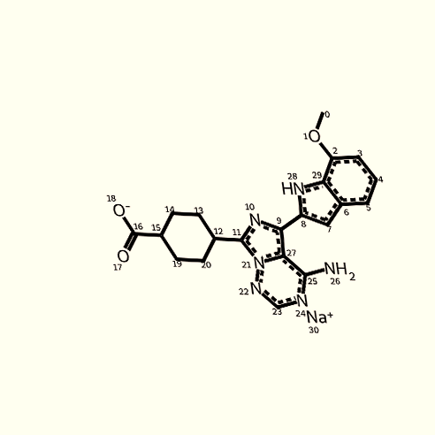 COc1cccc2cc(-c3nc(C4CCC(C(=O)[O-])CC4)n4ncnc(N)c34)[nH]c12.[Na+]